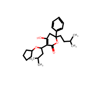 CC(C)CCC1(c2ccccc2)CC(O)=C(C(CC(C)C)OC2CCCC2)C(=O)O1